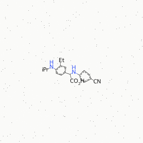 CCc1cc(C(Nc2ccc(C#N)cc2)C(=O)O)ccc1NC(C)C